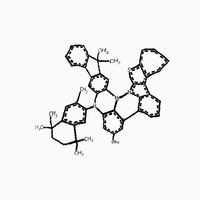 Cc1cc2c(cc1N1c3cc4c(cc3B3c5c(cc(C(C)(C)C)cc51)-c1cccc5c6c7ccccc7sc6n3c15)C(C)(C)c1ccccc1-4)C(C)(C)CCC2(C)C